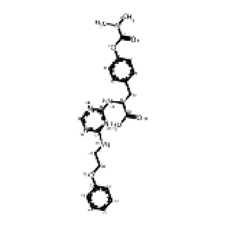 CN(C)C(=O)Oc1ccc(C[C@H](Nc2ncnc(NCCOc3ccccc3)n2)C(=O)O)cc1